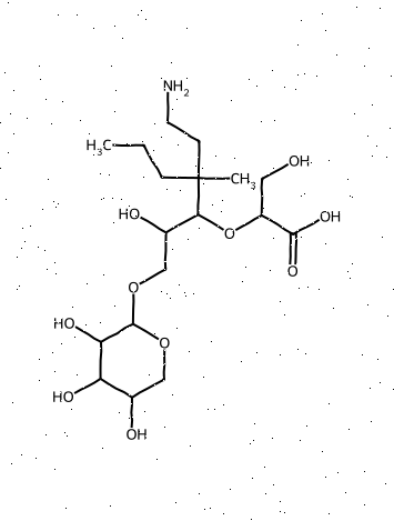 CCCC(C)(CCN)C(OC(CO)C(=O)O)C(O)COC1OCC(O)C(O)C1O